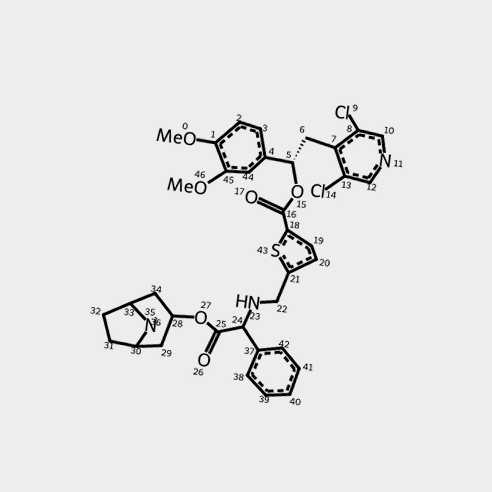 COc1ccc([C@H](Cc2c(Cl)cncc2Cl)OC(=O)c2ccc(CNC(C(=O)OC3CC4CCC(C3)N4C)c3ccccc3)s2)cc1OC